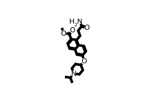 COC(=O)c1ccc2cc(OC3CCN(C(C)C)CC3)ccc2c1CCC(N)=O